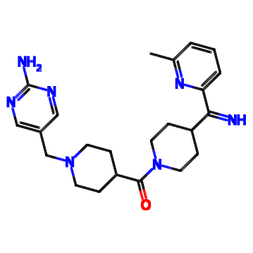 Cc1cccc(C(=N)C2CCN(C(=O)C3CCN(Cc4cnc(N)nc4)CC3)CC2)n1